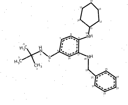 CC(C)(C)NSc1ccc(NC2CCCCC2)c(NCc2ccccc2)c1